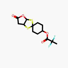 CC(F)(F)C(=O)OC1CCC2(CC1)SC1CC(=O)OC1S2